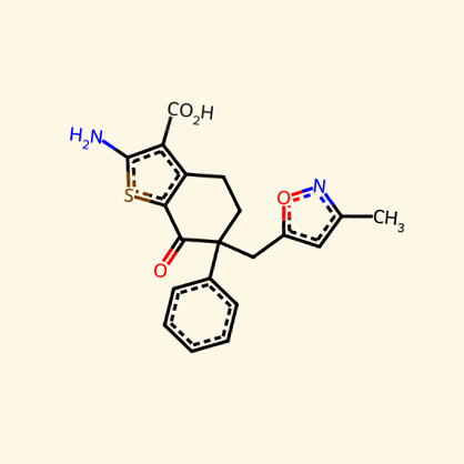 Cc1cc(CC2(c3ccccc3)CCc3c(sc(N)c3C(=O)O)C2=O)on1